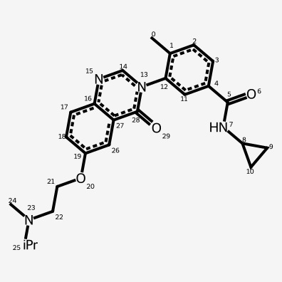 Cc1ccc(C(=O)NC2CC2)cc1-n1cnc2ccc(OCCN(C)C(C)C)cc2c1=O